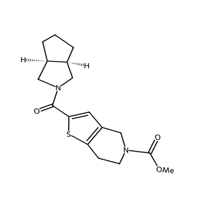 COC(=O)N1CCc2sc(C(=O)N3C[C@H]4CCC[C@H]4C3)cc2C1